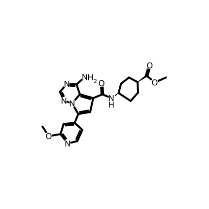 COc1cc(-c2cc(C(=O)N[C@H]3CC[C@H](C(=O)OC)CC3)c3c(N)ncnn23)ccn1